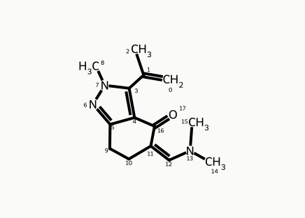 C=C(C)c1c2c(nn1C)CC/C(=C/N(C)C)C2=O